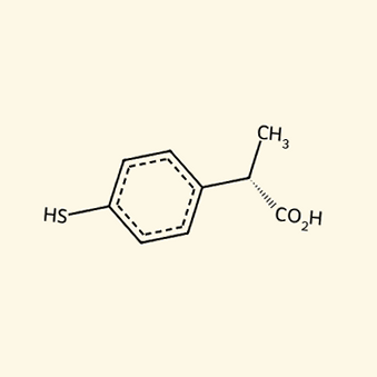 C[C@H](C(=O)O)c1ccc(S)cc1